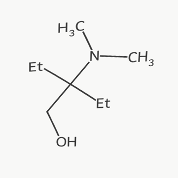 CCC(CC)(CO)N(C)C